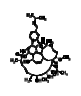 CO[C@H]1/C=C/O[C@@](C)(O)C(=O)C2=c3c4c(O)c(c5c3nc3cc(/C=N/C(C)C)ccn35)NC(=O)/C(C)=C\C=C\[C@H](C)[C@H](O)[C@@H](C)[C@@H](O)[C@@H](C)[C@H](OC(C)=O)[C@@H]1CC2C#CC=4O